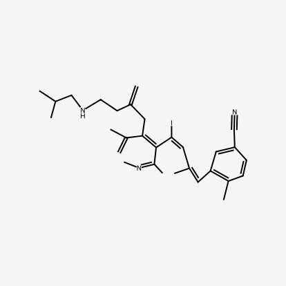 C=C(CCNCC(C)C)C/C(C(=C)C)=C(C(/C)=N\C)\C(I)=C/C(C)=C\c1cc(C#N)ccc1C